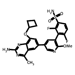 COc1ncc(-c2cc(OC3CCC3)c3nc(N)nc(C)c3c2)cc1-c1c(F)ccc(S(N)(=O)=O)c1F